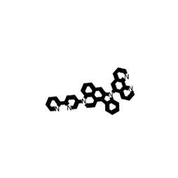 C1=CN(c2ccc(-c3ccccn3)nc2)c2cccc3cc4c(c1c23)c1ccccc1n4-c1cc2cccnc2c2ncccc12